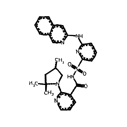 CC1CN(c2ncccc2C(=O)NS(=O)(=O)c2cccc(Nc3cc4ccccc4cn3)n2)C(C)(C)C1